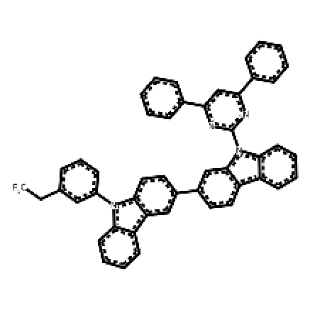 FC(F)(F)Cc1cccc(-n2c3ccccc3c3cc(-c4ccc5c6ccccc6n(-c6nc(-c7ccccc7)cc(-c7ccccc7)n6)c5c4)ccc32)c1